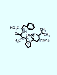 CO[C@H]([C@@H](C)C(=O)N[C@@H](Cc1ccccc1)C(=O)O)[C@@H]1CCCN1C(=O)C[C@@H](OC)C(C(C)C)N(C)C